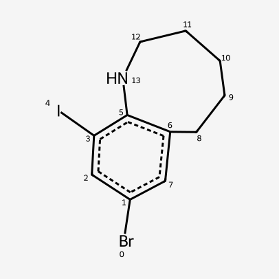 Brc1cc(I)c2c(c1)CCCCCN2